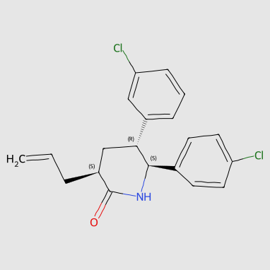 C=CC[C@H]1C[C@H](c2cccc(Cl)c2)[C@@H](c2ccc(Cl)cc2)NC1=O